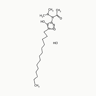 CCCCCCCCCCCCCCc1onc(N(C(C)=O)N(C)C)c1O.Cl